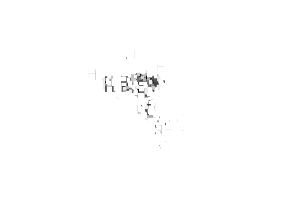 BC1(B)N(CC2=C(c3ccc(Cl)cc3)CC(C)(C)CC2)C(B)(B)C(B)(B)N(c2ccc(C(=O)NS(=O)(=O)c3ccc(NCC4CCOCC4)c([N+](=O)[O-])c3)c(Oc3cnc4[nH]ccc4c3)c2)C1(B)B